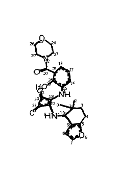 CC1(C)CCc2occc2C1Nc1c(Nc2cccc(C(=O)N3CCOCC3)c2O)c(=O)c1=O